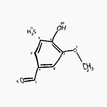 COc1cc(C=O)ccc1O.S